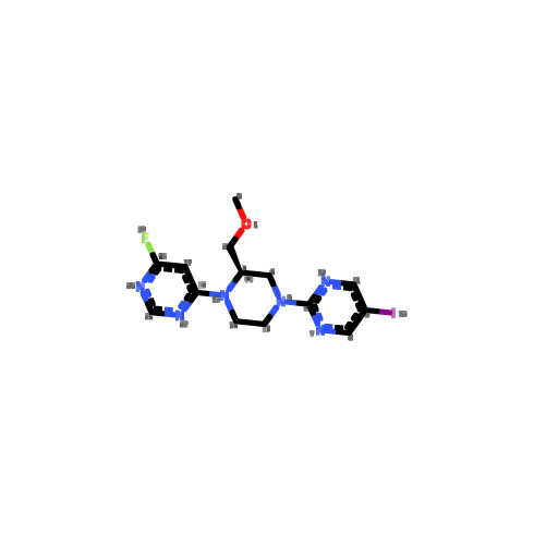 COC[C@H]1CN(c2ncc(I)cn2)CCN1c1cc(F)ncn1